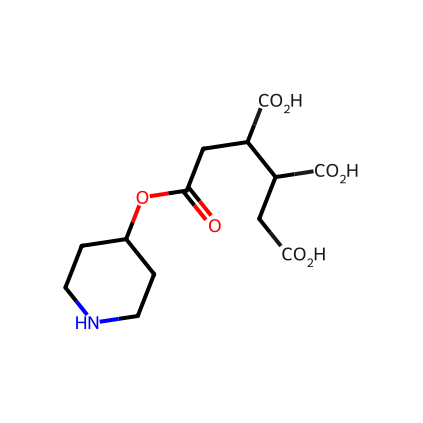 O=C(O)CC(C(=O)O)C(CC(=O)OC1CCNCC1)C(=O)O